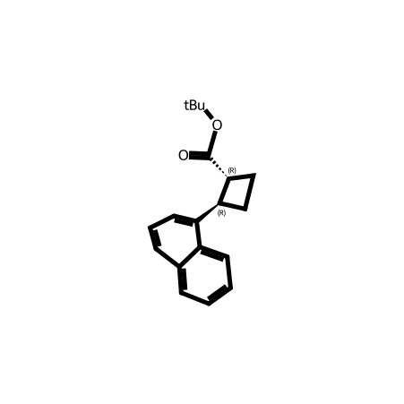 CC(C)(C)OC(=O)[C@@H]1CC[C@H]1c1cccc2ccccc12